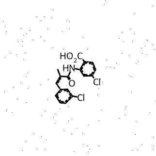 CC(=Cc1cccc(Cl)c1)C(=O)Nc1cc(Cl)ccc1C(=O)O